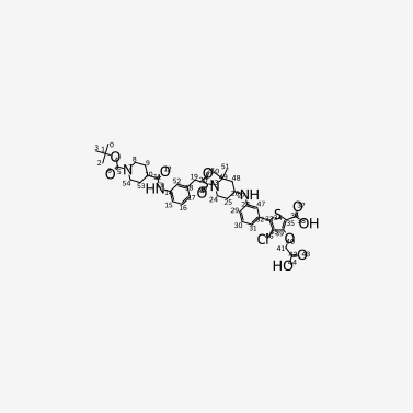 CC(C)(C)OC(=O)N1CCC(C(=O)Nc2cccc(CS(=O)(=O)N3CC[C@H](Nc4cccc(-c5sc(C(=O)O)c(OCC(=O)O)c5Cl)c4)CC3(C)C)c2)CC1